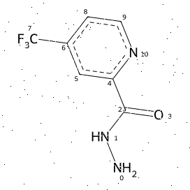 NNC(=O)c1cc(C(F)(F)F)ccn1